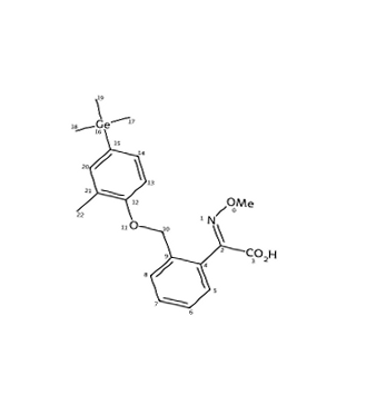 CON=C(C(=O)O)c1ccccc1COc1cc[c]([Ge]([CH3])([CH3])[CH3])cc1C